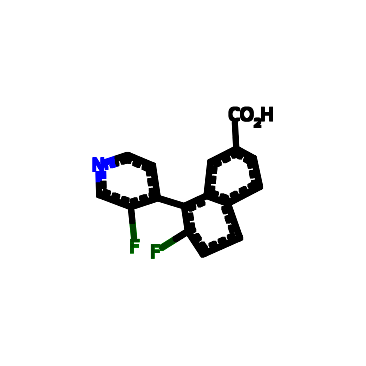 O=C(O)c1ccc2ccc(F)c(-c3ccncc3F)c2c1